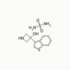 NS(N)(=O)=O.OC1(c2csc3ccccc23)CNC1